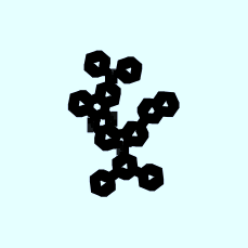 c1ccc(-c2cc(-c3ccccc3)cc(-n3c4ccc(-c5ccc6ccccc6c5)cc4c4c5nc6c7ccc(N(c8ccccc8)c8ccccc8)cc7c7ccccc7c6nc5ccc43)c2)cc1